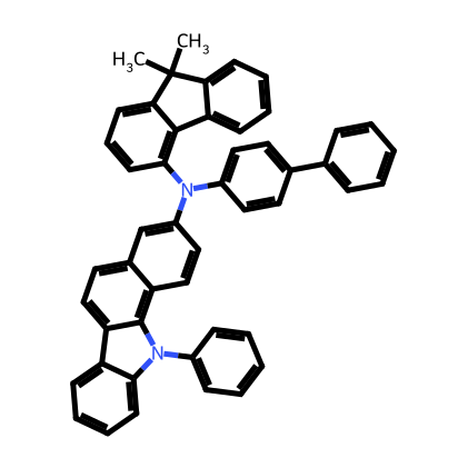 CC1(C)c2ccccc2-c2c(N(c3ccc(-c4ccccc4)cc3)c3ccc4c(ccc5c6ccccc6n(-c6ccccc6)c45)c3)cccc21